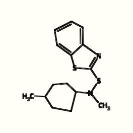 CC1CCC(N(C)Sc2nc3ccccc3s2)CC1